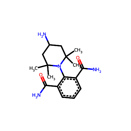 CC1(C)CC(N)CC(C)(C)N1c1c(C(N)=O)cccc1C(N)=O